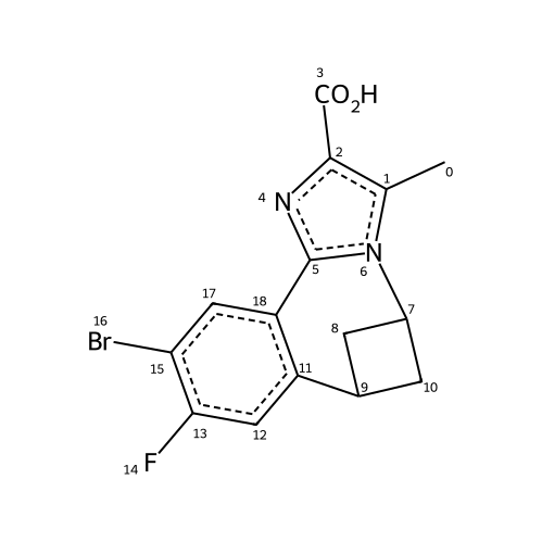 Cc1c(C(=O)O)nc2n1C1CC(C1)c1cc(F)c(Br)cc1-2